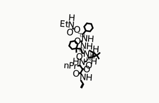 C=CCNC(=O)C(=O)C(CCC)NC(=O)[C@@H]1[C@@H]2[C@H](CN1C(=O)[C@@H](NC(=O)N[C@H](COC(=O)NCC)C1CCCCC1)C1(C)CCCCC1)C2(C)C